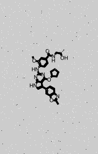 COc1cc(C(=O)NC[C@H](C)O)ccc1Nc1nc(OC2CCCC2)c2c(-c3ccc4nc(C)oc4c3)c[nH]c2n1